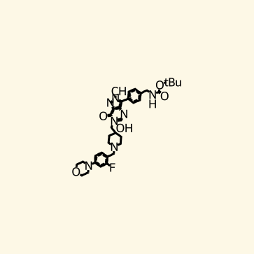 Cn1nc2c(=O)n(CC3(O)CCN(Cc4ccc(N5CCOCC5)cc4F)CC3)cnc2c1-c1ccc(CNC(=O)OC(C)(C)C)cc1